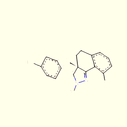 CC(=O)N1N=C2c3c(C)cccc3CC[C@H]2[C@H]1c1ccc(C)cc1